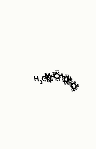 Cc1ncc(-c2ccc(Cc3cnc(-c4ccccc4)nc3)cc2)cn1